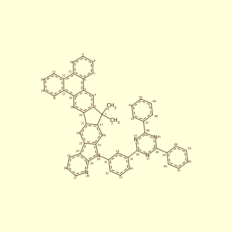 CC1(C)c2cc3c4ccccc4c4ccccc4c3cc2-c2cc3c4cccnc4n(-c4cccc(-c5nc(-c6ccccc6)nc(-c6ccccc6)n5)c4)c3cc21